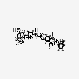 COc1cc(CC(=O)CNc2ccc(C(CC(=O)O)NCS(C)(=O)=O)cn2)ccc1NC(=O)Nc1ccccc1C